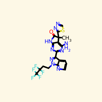 CC1(c2nncs2)C(=O)Nc2nc(-c3nn(CCC(F)(F)C(F)(F)F)c4ncccc34)nc(N)c21